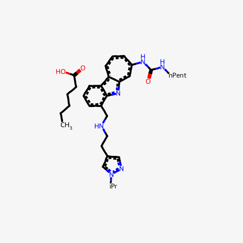 CCCCCC(=O)O.CCCCCNC(=O)Nc1cccc2c3cccc(CNCCc4cnn(C(C)C)c4)c3nc-2c1